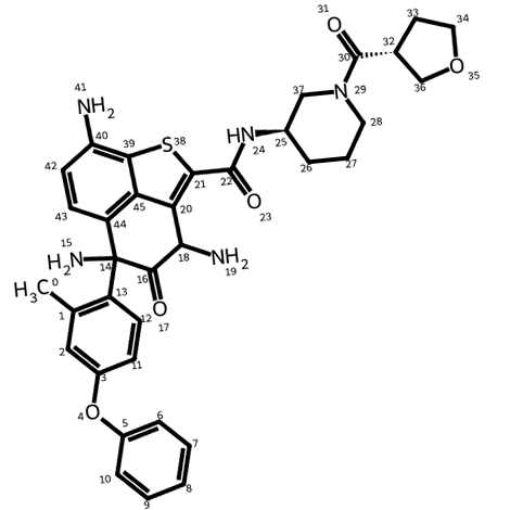 Cc1cc(Oc2ccccc2)ccc1C1(N)C(=O)C(N)c2c(C(=O)N[C@@H]3CCCN(C(=O)[C@@H]4CCOC4)C3)sc3c(N)ccc1c23